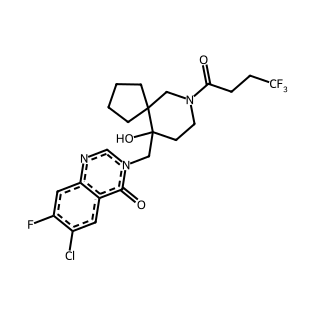 O=C(CCC(F)(F)F)N1CCC(O)(Cn2cnc3cc(F)c(Cl)cc3c2=O)C2(CCCC2)C1